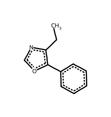 CCc1ncoc1-c1ccccc1